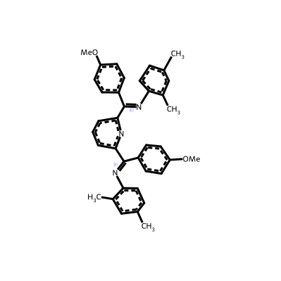 COc1ccc(/C(=N\c2ccc(C)cc2C)c2cccc(/C(=N/c3ccc(C)cc3C)c3ccc(OC)cc3)n2)cc1